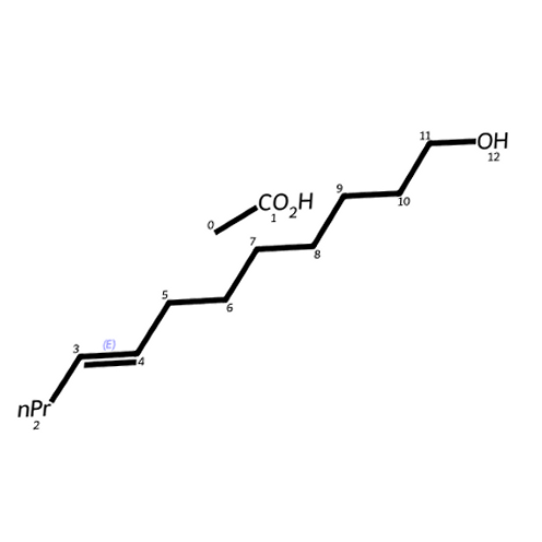 CC(=O)O.CCC/C=C/CCCCCCCO